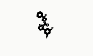 O=C(N1CC(F)(c2ccccc2)C1)N1N=CCC1c1cc(F)cc(F)c1